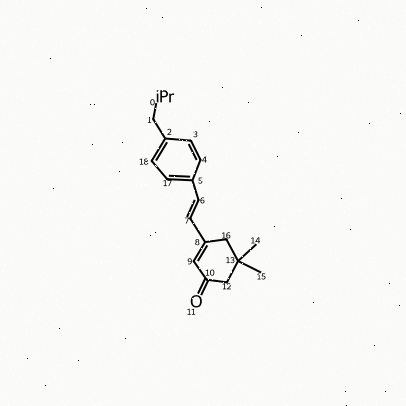 CC(C)Cc1ccc(C=CC2=CC(=O)CC(C)(C)C2)cc1